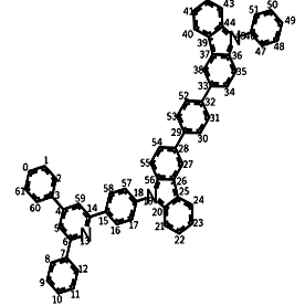 c1ccc(-c2cc(-c3ccccc3)nc(-c3ccc(-n4c5ccccc5c5cc(-c6ccc(-c7ccc8c(c7)c7ccccc7n8-c7ccccc7)cc6)ccc54)cc3)c2)cc1